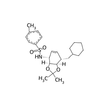 Cc1ccc(S(=O)(=O)N[C@@H]2C=C[C@H](CC3CCCCC3)[C@H]3OC(C)(C)O[C@H]32)cc1